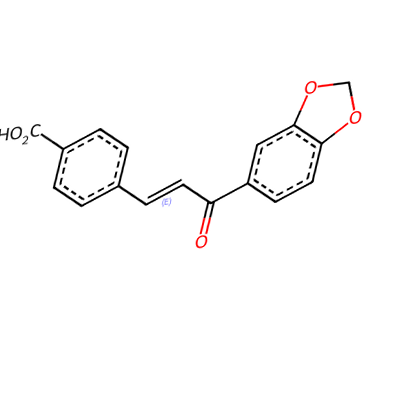 O=C(O)c1ccc(/C=C/C(=O)c2ccc3c(c2)OCO3)cc1